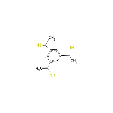 CC(S)c1[c]c(C(C)S)cc(C(C)S)c1